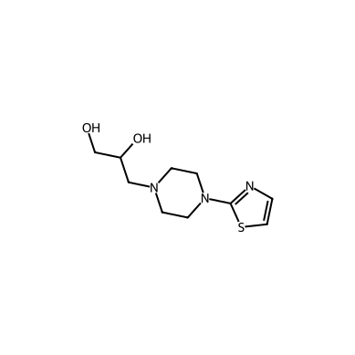 OCC(O)CN1CCN(c2nccs2)CC1